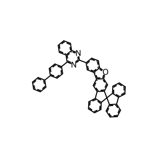 c1ccc(-c2ccc(-c3nc(-c4ccc5oc6cc7c(cc6c5c4)-c4ccccc4C74c5ccccc5-c5ccccc54)nc4ccccc34)cc2)cc1